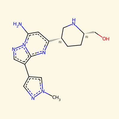 Cn1cc(-c2cnn3c(N)cc([C@H]4CC[C@@H](CO)NC4)nc23)cn1